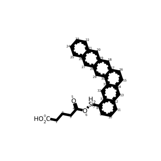 O=C(O)CCCC(=O)O[SiH2]c1cccc2cc3ccc4cc5cc6ccccc6cc5cc4c3cc12